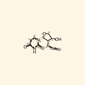 [N-]=[N+]=N[C@@H]1[C@H](O)CO[C@H]1n1ccc(=O)[nH]c1=O